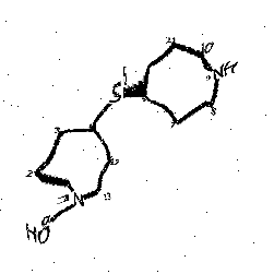 ON1CCC(SC2CCNCC2)CC1